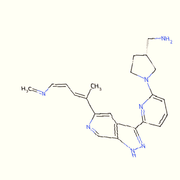 C=N/C=C\C=C(/C)c1cc2c(-c3cccc(N4CC[C@H](CN)C4)n3)n[nH]c2cn1